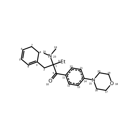 CCC(CC1=CC=CCC1)(C(=O)c1ccc(N2CCOCC2)cc1)N(C)C